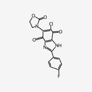 O=C1C(N2CCOC2=O)=C(Cl)C(=O)c2[nH]c(-c3ccc(F)cc3)nc21